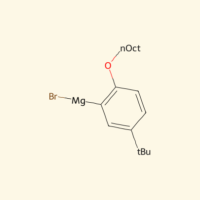 CCCCCCCCOc1ccc(C(C)(C)C)c[c]1[Mg][Br]